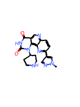 Cn1cc(-c2ccc3ncc4c(=O)[nH]c(=O)n(C5CCNCC5)c4c3n2)cn1